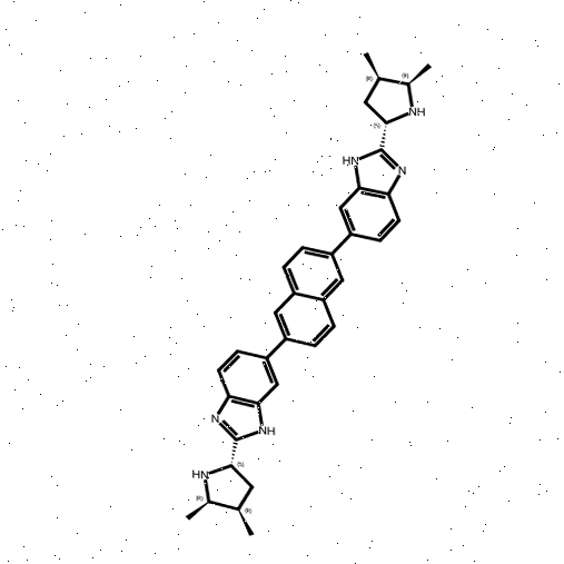 C[C@@H]1C[C@@H](c2nc3ccc(-c4ccc5cc(-c6ccc7nc([C@@H]8C[C@@H](C)[C@@H](C)N8)[nH]c7c6)ccc5c4)cc3[nH]2)N[C@@H]1C